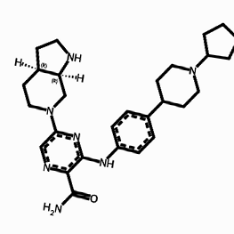 NC(=O)c1ncc(N2CC[C@H]3CCN[C@H]3C2)nc1Nc1ccc(C2CCN(C3CCCC3)CC2)cc1